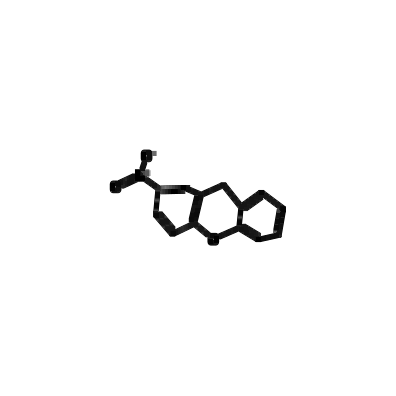 O=[N+]([O-])c1[c]c2c(cc1)Oc1ccccc1C2